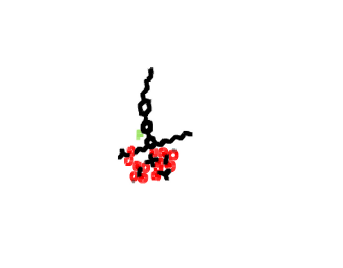 C=C(C)C(=O)OCCCc1cc(-c2ccc(C3CCC(CCCCC)CC3)cc2F)cc(CCCCCCC)c1OCC(COC(=O)C(=C)C)(COC(=O)C(=O)OC)COC(=O)C(=O)OC